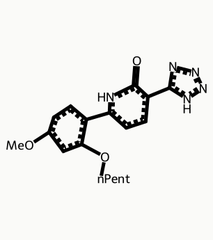 CCCCCOc1cc(OC)ccc1-c1ccc(-c2nnn[nH]2)c(=O)[nH]1